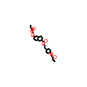 C=CC(=O)COc1ccc(/C=C/OC(=O)c2ccc3cc(OCOC(=O)C=C)ccc3c2)cc1